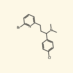 CN(C)C(CCc1cccc(Br)n1)c1ccc(Cl)cc1